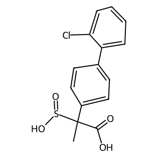 CC(C(=O)O)(c1ccc(-c2ccccc2Cl)cc1)S(=O)O